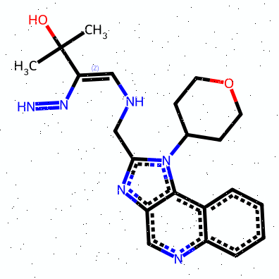 CC(C)(O)/C(=C/NCc1nc2cnc3ccccc3c2n1C1CCOCC1)N=N